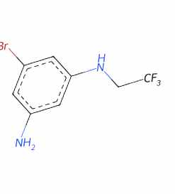 Nc1cc(Br)cc(NCC(F)(F)F)c1